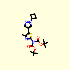 Cc1nc(N(C(=O)OC(C)(C)C)C(=O)OC(C)(C)C)sc1-c1cnn(C2CCC2)c1